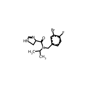 CC(C)N(Cc1ccc(F)c(Br)c1)C(=O)C1CNC=N1